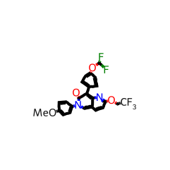 COc1ccc(-n2cc3ccc(OCC(F)(F)F)nc3c(-c3ccc(OC(F)F)cc3)c2=O)cc1